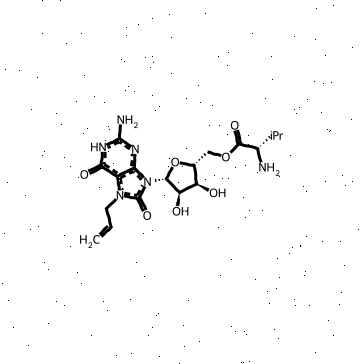 C=CCn1c(=O)n([C@@H]2O[C@H](COC(=O)[C@@H](N)C(C)C)[C@@H](O)[C@H]2O)c2nc(N)[nH]c(=O)c21